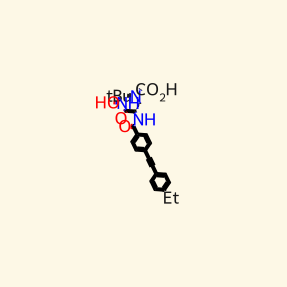 CCc1ccc(C#Cc2ccc(C(=O)N[C@@H](CN(C(=O)O)C(C)(C)C)C(=O)NO)cc2)cc1